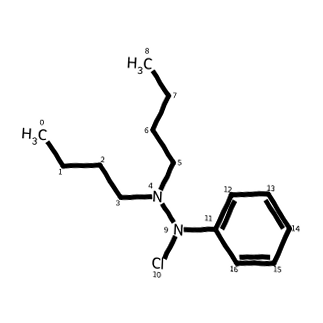 CCCCN(CCCC)N(Cl)c1ccccc1